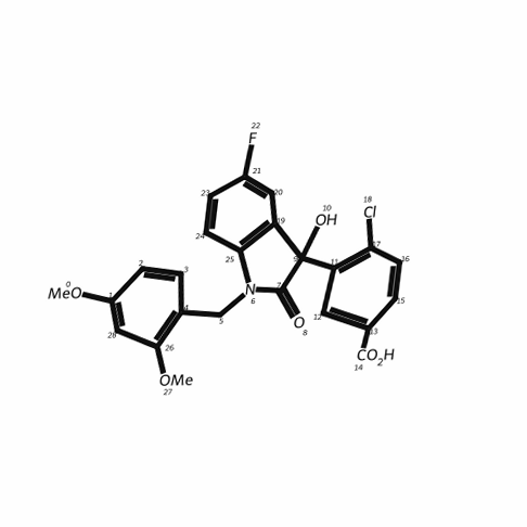 COc1ccc(CN2C(=O)C(O)(c3cc(C(=O)O)ccc3Cl)c3cc(F)ccc32)c(OC)c1